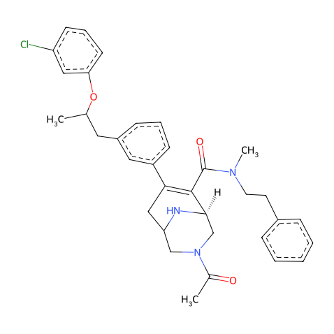 CC(=O)N1CC2CC(c3cccc(CC(C)Oc4cccc(Cl)c4)c3)=C(C(=O)N(C)CCc3ccccc3)[C@@H](C1)N2